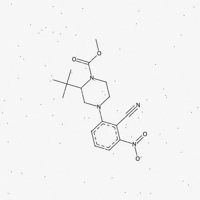 COC(=O)N1CCN(c2cccc([N+](=O)[O-])c2C#N)CC1C(C)(C)C